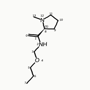 C=C(NCOCCC)[C@@H]1CCCN1C